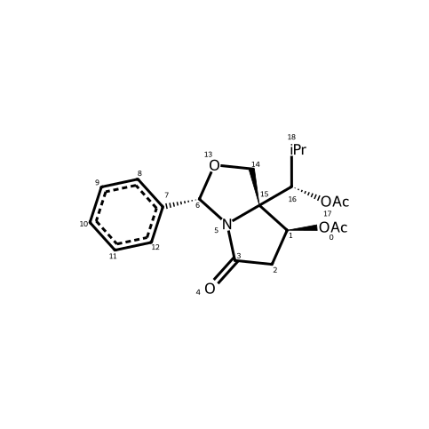 CC(=O)O[C@H]1CC(=O)N2[C@H](c3ccccc3)OC[C@@]12[C@@H](OC(C)=O)C(C)C